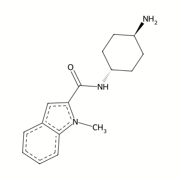 Cn1c(C(=O)N[C@H]2CC[C@H](N)CC2)cc2ccccc21